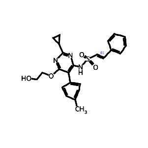 Cc1ccc(-c2c(NS(=O)(=O)/C=C/c3ccccc3)nc(C3CC3)nc2OCCO)cc1